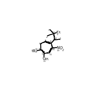 CCC(C)(C)C(C)C1=CCC(C(C)(C)C)=C(O)C=C1[N+](=O)[O-]